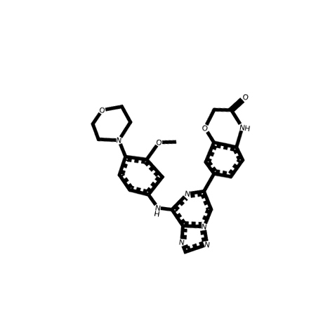 COc1cc(Nc2nc(-c3ccc4c(c3)OCC(=O)N4)cn3ncnc23)ccc1N1CCOCC1